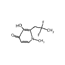 Cn1ccc(=O)c(O)c1CC(C)(F)F